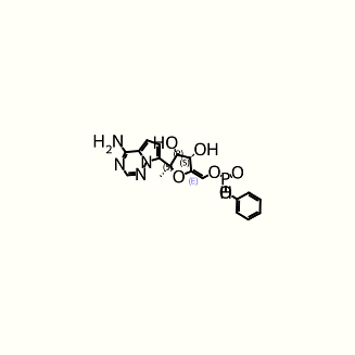 C[C@@]1(c2ccc3c(N)ncnn23)O/C(=C/O[PH](=O)Oc2ccccc2)[C@@H](O)[C@H]1O